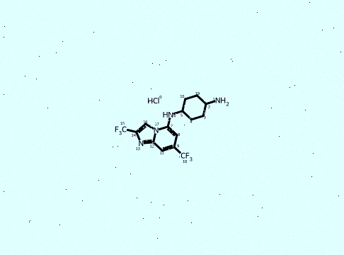 Cl.NC1CCC(Nc2cc(C(F)(F)F)cc3nc(C(F)(F)F)cn23)CC1